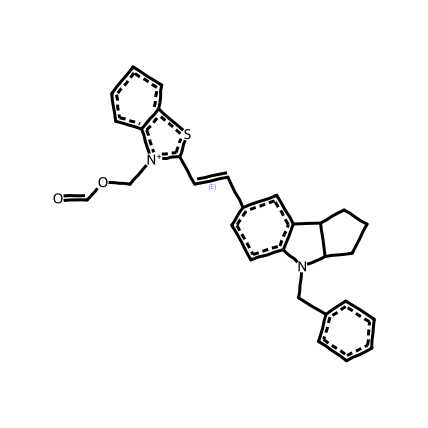 O=COC[n+]1c(/C=C/c2ccc3c(c2)C2CCCC2N3Cc2ccccc2)sc2ccccc21